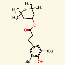 CC1(C)CC(OC(=O)CCc2cc(C(C)(C)C)c(O)c(C(C)(C)C)c2)CC(C)(C)S1